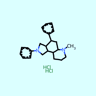 CN1CCCC2C3CN(c4ccccc4)CC3C(c3ccccc3)CC21.Cl.Cl